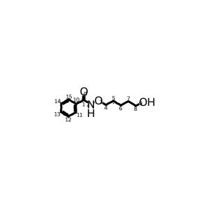 O=C(NOC[CH]CCCO)c1ccccc1